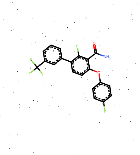 NC(=O)c1c(Oc2ccc(F)cc2)ccc(-c2cccc(C(F)(F)F)c2)c1F